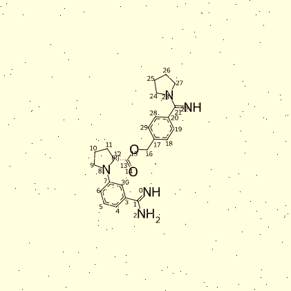 N=C(N)c1cccc(N2CCC[C@@H]2C(=O)OCc2ccc(C(=N)N3CCCC3)cc2)c1